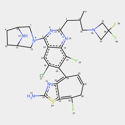 CC(Cc1nc(N2CC3CCC(C2)N3)c2cc(Cl)c(C3=c4nc(N)sc4=C(F)CC=C3)c(F)c2n1)CN1CC(F)(F)C1